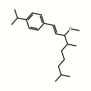 COC(/C=C/c1ccc(C(C)C)cc1)C(C)CCCC(C)C